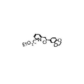 CCOC(=O)c1cccc(CC(=O)c2ccc3c(c2)OCCO3)n1